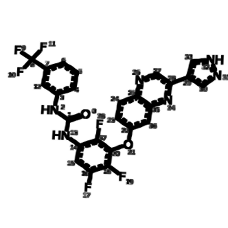 O=C(Nc1cccc(C(F)(F)F)c1)Nc1cc(F)c(F)c(Oc2ccc3ncc(-c4cn[nH]c4)nc3c2)c1F